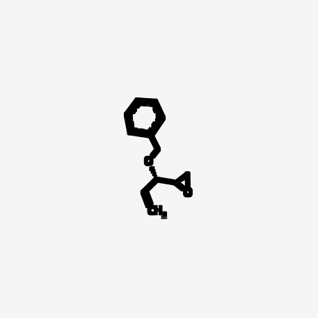 C=C[C@H](OCc1ccccc1)[C@H]1CO1